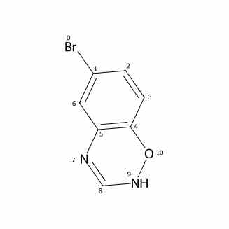 Brc1ccc2c(c1)N=[C]NO2